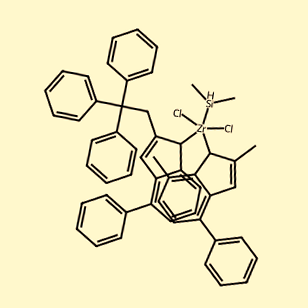 CC1=Cc2c(-c3ccccc3)ccc(C)c2[CH]1[Zr]([Cl])([Cl])([CH]1C(CC(c2ccccc2)(c2ccccc2)c2ccccc2)=Cc2c(-c3ccccc3)cccc21)[SiH](C)C